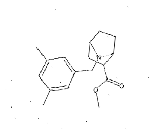 COC(=O)C1CC2CCC1N2Cc1cc(C)cc(C)c1